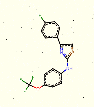 Fc1ccc(-c2csc(Nc3ccc(OC(F)(F)F)cc3)n2)cc1